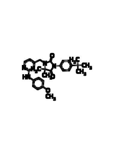 COc1ccc(Nc2cc(CN3C(=O)N(c4ccc(C(C)(C)C)cc4)C(=O)C3(C)C)ccn2)cc1